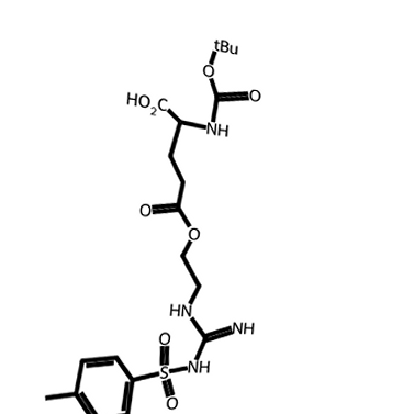 Cc1ccc(S(=O)(=O)NC(=N)NCCOC(=O)CCC(NC(=O)OC(C)(C)C)C(=O)O)cc1